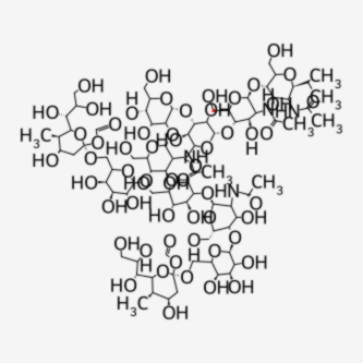 CC(=O)NC1C(O)[C@H](O[C@@H]2OC(CO[C@]3(OC=O)C[C@@H](O)[C@@H](C)C([C@H](O)C(O)CO)O3)[C@H](O)[C@H](O)C2O)[C@H](CO)O[C@H]1OC1[C@@H](OCC2O[C@@H](O[C@@H]3C(CO)O[C@@H](O[C@@H]4C(CO)O[C@@H](C(C)C)C(NC(C)=O)[C@H]4O)C(NC(C)=O)[C@H]3O)C(O)[C@@H](O[C@H]3OC(CO)[C@@H](O)C(O)C3O[C@@H]3OC(CO)[C@@H](O[C@@H]4OC(CO[C@]5(OC=O)C[C@@H](O)[C@@H](C)C([C@H](O)C(O)CO)O5)[C@H](O)[C@H](O)C4O)[C@H](O)C3NC(C)=O)[C@@H]2O)OC(CO)[C@@H](O)[C@@H]1O